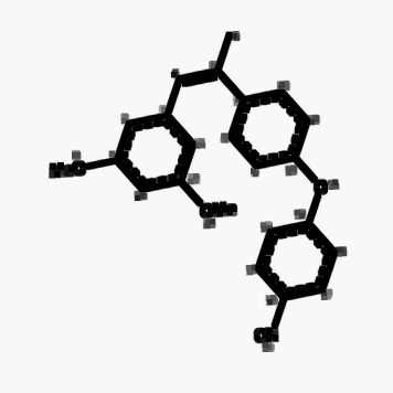 COc1cc(/C=C(/C)c2ccc(Oc3ccc(N=O)cc3)cc2)cc(OC)c1